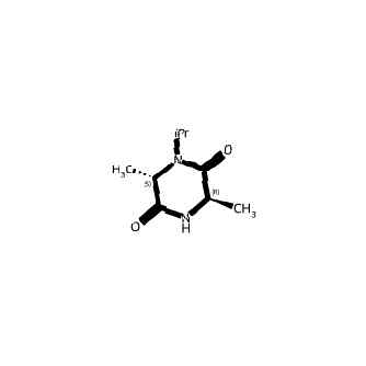 CC(C)N1C(=O)[C@@H](C)NC(=O)[C@@H]1C